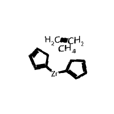 C.C1=CC[C]([Zr][C]2=CC=CC2)=C1.C=C